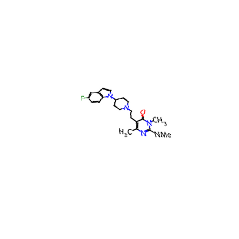 CNc1nc(C)c(CCN2CCC(n3ccc4cc(F)ccc43)CC2)c(=O)n1C